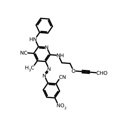 Cc1c(C#N)c(Nc2ccccc2)nc(NCCOC#CC=O)c1N=Nc1ccc([N+](=O)[O-])cc1C#N